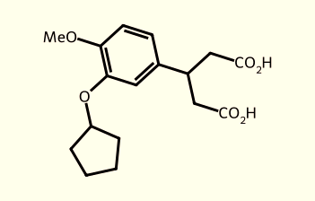 COc1ccc(C(CC(=O)O)CC(=O)O)cc1OC1CCCC1